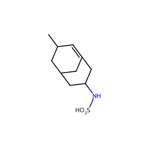 CC1C=C2CC(C1)CC(NS(=O)(=O)O)C2